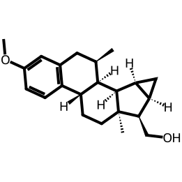 COc1ccc2c(c1)C[C@@H](C)[C@H]1[C@H]3[C@H]4C[C@H]4[C@@H](CO)[C@@]3(C)CC[C@H]21